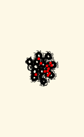 O=P1(c2ccccc2)c2ccccc2C(c2cc(N(c3ccccc3)c3ccccc3)cc(N(c3ccccc3)c3ccccc3)c2)(c2cc(N(c3ccccc3)c3ccccc3)cc(N(c3ccccc3)c3ccccc3)c2)c2ccccc21